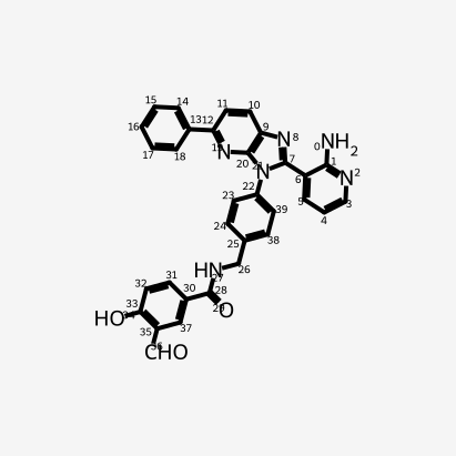 Nc1ncccc1-c1nc2ccc(-c3ccccc3)nc2n1-c1ccc(CNC(=O)c2ccc(O)c(C=O)c2)cc1